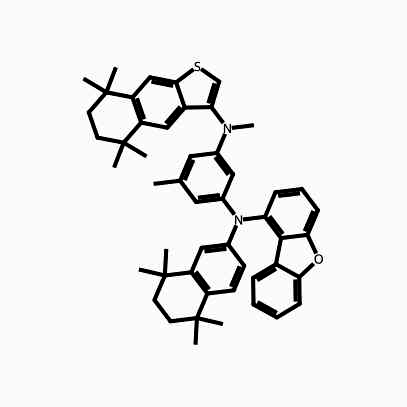 Cc1cc(N(C)c2csc3cc4c(cc23)C(C)(C)CCC4(C)C)cc(N(c2ccc3c(c2)C(C)(C)CCC3(C)C)c2cccc3oc4ccccc4c23)c1